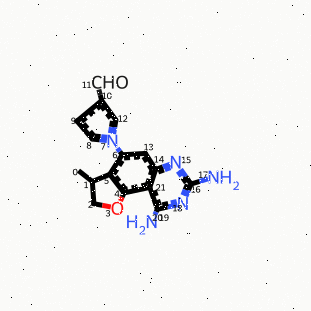 CC1COc2c1c(-n1ccc(C=O)c1)cc1nc(N)nc(N)c21